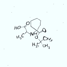 CC(NC1(C(=O)OC(C)(C)C)CCCCC1)C(=O)O